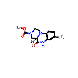 CC(C)(C)OC(=O)N1CCN2c3ccc(C(F)(F)F)cc3NC(=O)[C@@H]2C1